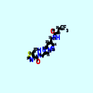 CC(C)c1scnc1C(=O)NCc1cn2ncc(CNC(=O)CCC(F)(F)F)cc2n1